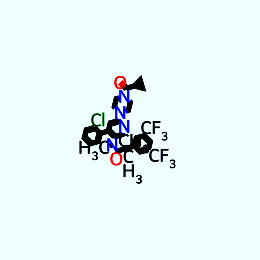 CN(C(=O)C(C)(C)c1cc(C(F)(F)F)cc(C(F)(F)F)c1)c1cnc(N2CCN(C(=O)C3CC3)CC2)cc1-c1ccccc1Cl